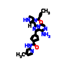 CC#CC(=O)N1C2CN[C@@H](C2)C1c1nc(-c2ccc(C(=O)Nc3cc(C)ccn3)cc2)c2c(N)nccn12